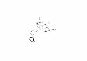 CC(C)(C)OC(=O)Oc1ccn([C@@H]2O[C@@](CO[P@@]3(=O)OCC[C@@H](c4cccc(Cl)c4)O3)(N=[N+]=[N-])[C@@H](OC(=O)OC(C)(C)C)[C@H]2OC(=O)OC(C)(C)C)c(=O)n1